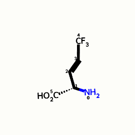 N[C@@H](/C=C/C(F)(F)F)C(=O)O